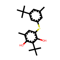 Cc1cc(Sc2cc(C)c(O)c(C(C)(C)C)c2O)cc(C(C)(C)C)c1